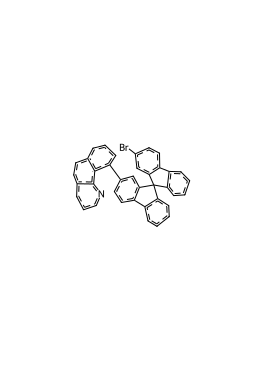 Brc1ccc2c(c1)C1(c3ccccc3-2)c2ccccc2-c2ccc(-c3cccc4ccc5cccnc5c34)cc21